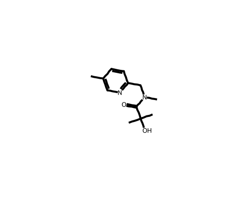 Cc1ccc(CN(C)C(=O)C(C)(C)O)nc1